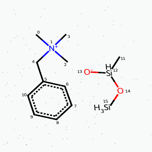 C[N+](C)(C)Cc1ccccc1.C[SiH]([O-])O[SiH3]